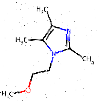 COCCn1c(C)nc(C)c1C